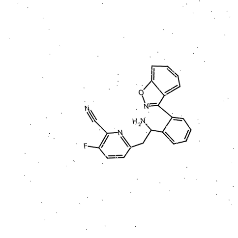 N#Cc1nc(CC(N)c2ccccc2-c2noc3ccccc23)ccc1F